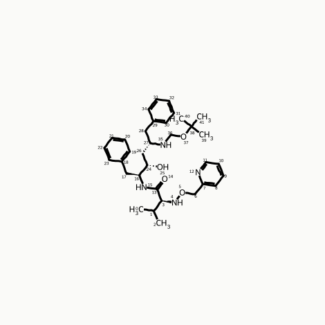 CC(C)[C@H](NOCc1ccccn1)C(=O)N[C@@H](Cc1ccccc1)[C@@H](O)C[C@H](Cc1ccccc1)NCOC(C)(C)C